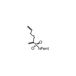 [CH]=C(SCC=C)S(=O)(=O)CCCCC